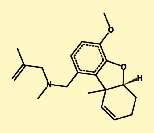 C=C(C)CN(C)Cc1ccc(OC)c2c1C1(C)C=CCC[C@@H]1O2